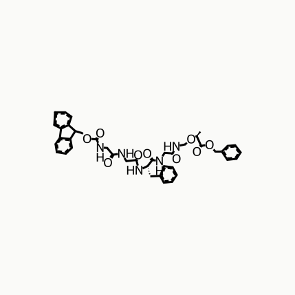 C[C@H](OCNC(=O)CNC(=O)[C@H](Cc1ccccc1)NC(=O)CNC(=O)CNC(=O)OCC1c2ccccc2-c2ccccc21)C(=O)OCc1ccccc1